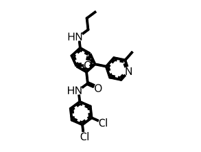 CCCNc1cc2oc1c(-c1ccnc(C)c1)c2C(=O)Nc1ccc(Cl)c(Cl)c1